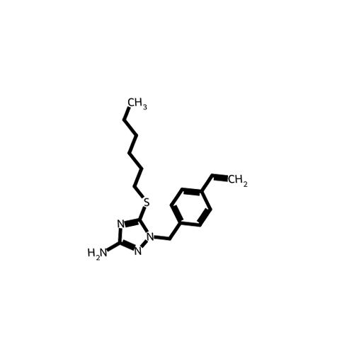 C=Cc1ccc(Cn2nc(N)nc2SCCCCCC)cc1